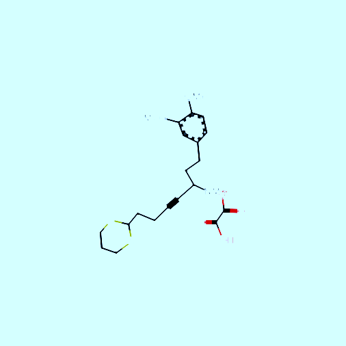 CNC(C#CCCC1SCCCS1)CCc1ccc(OC)c(OC)c1.O=C(O)C(=O)O